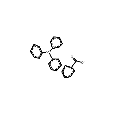 O=C([O-])c1ccccc1.c1cc[c]([Sn+]([c]2ccccc2)[c]2ccccc2)cc1